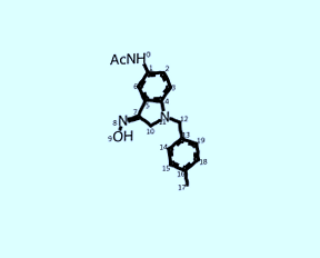 CC(=O)Nc1ccc2c(c1)C(=NO)CN2Cc1ccc(C)cc1